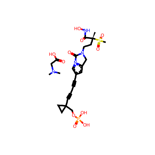 CN(C)CC(=O)O.C[C@@](CCN1Cc2cc(C#CC#CC3(COP(=O)(O)O)CC3)cn2C1=O)(C(=O)NO)S(C)(=O)=O